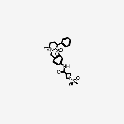 C[C@H]1CCC(c2ccccc2)S(=O)(=O)N1Cc1ccc(NC(=O)C2CN(S(C)(=O)=O)C2)cc1F